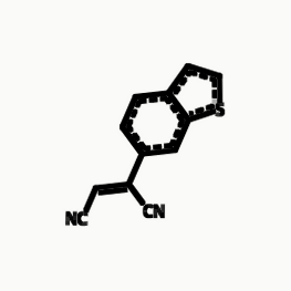 N#C/C=C(\C#N)c1ccc2ccsc2c1